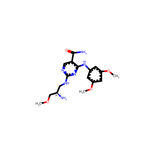 COC[C@H](N)CNc1ncc(C(N)=O)c(Nc2cc(OC)cc(OC)c2)n1